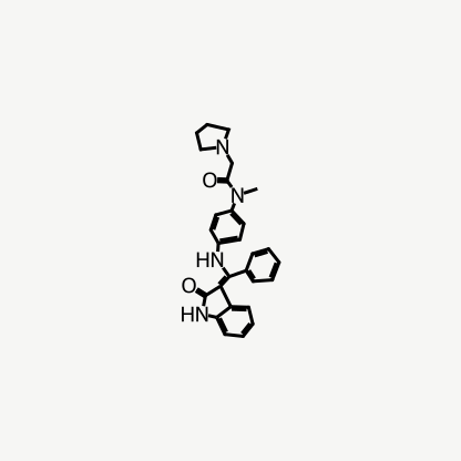 CN(C(=O)CN1CCCC1)c1ccc(N/C(=C2\C(=O)Nc3ccccc32)c2ccccc2)cc1